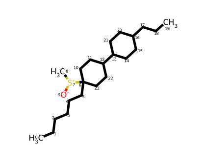 CCCCCCC1([S+](C)[O-])CCC(C2CCC(CCC)CC2)CC1